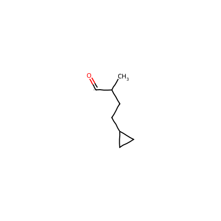 CC([C]=O)CCC1CC1